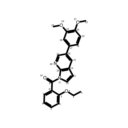 CCOc1ccccc1C(=O)n1ccc2cc(-c3ccc(OC)c(OC)c3)cnc21